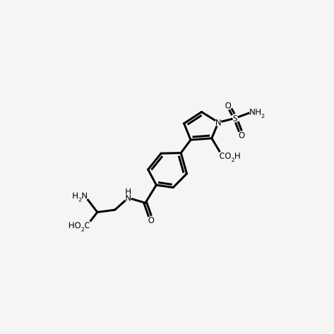 NC(CNC(=O)c1ccc(-c2ccn(S(N)(=O)=O)c2C(=O)O)cc1)C(=O)O